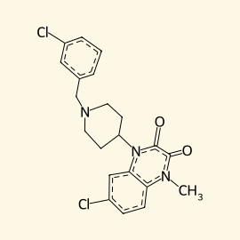 Cn1c(=O)c(=O)n(C2CCN(Cc3cccc(Cl)c3)CC2)c2cc(Cl)ccc21